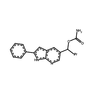 CC(C)C(OC(N)=O)c1cnc2[nH]c(-c3ccccc3)cc2c1